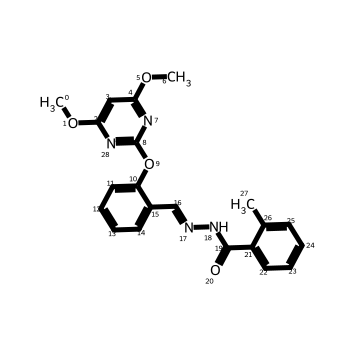 COc1cc(OC)nc(Oc2ccccc2/C=N/NC(=O)c2ccccc2C)n1